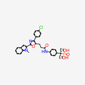 CCC(CC)(c1ccc(NC(=O)CCc2oc(-c3cc4ccccc4n3C)nc2-c2ccc(Cl)cc2)cc1)P(=O)(O)O